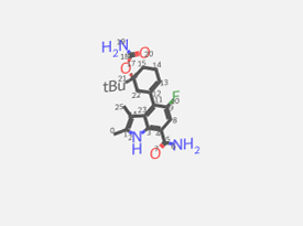 Cc1[nH]c2c(C(N)=O)cc(F)c(C3=CCCC(OC(N)=O)(C(C)(C)C)C3)c2c1C